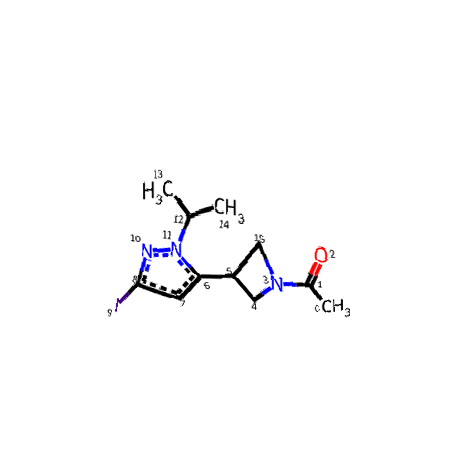 CC(=O)N1CC(c2cc(I)nn2C(C)C)C1